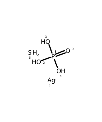 O=P(O)(O)O.[Ag].[SiH4]